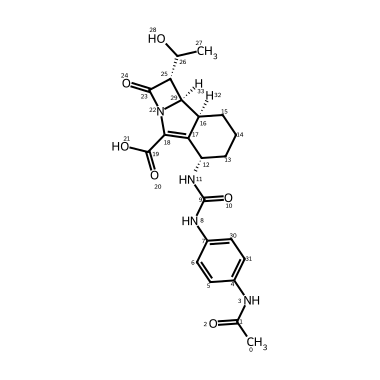 CC(=O)Nc1ccc(NC(=O)N[C@H]2CCC[C@H]3C2=C(C(=O)O)N2C(=O)[C@H](C(C)O)[C@@H]32)cc1